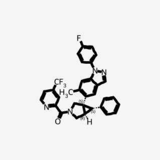 Cc1cc2c(cnn2-c2ccc(F)cc2)cc1[C@@]12CN(C(=O)c3cc(C(F)(F)F)ccn3)C[C@@H]1[C@H]2c1ccccc1